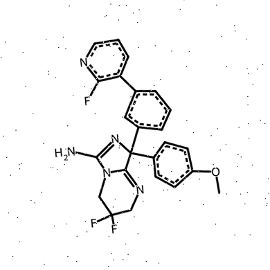 COc1ccc(C2(c3cccc(-c4cccnc4F)c3)N=C(N)N3CC(F)(F)CN=C32)cc1